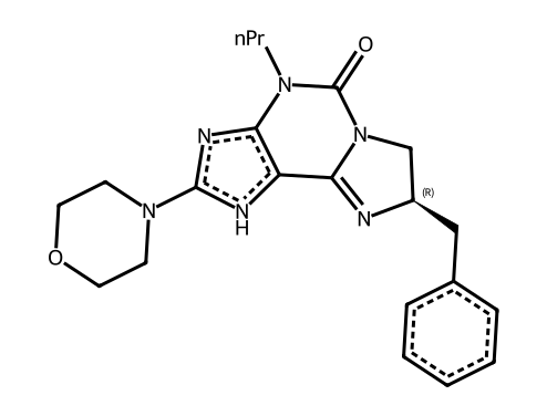 CCCN1C(=O)N2C[C@@H](Cc3ccccc3)N=C2c2[nH]c(N3CCOCC3)nc21